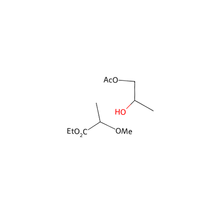 CC(=O)OCC(C)O.CCOC(=O)C(C)OC